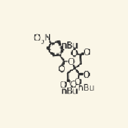 CCCCOC(=O)CC(CC(=O)OCCCC)(OC(=O)c1ccc([N+](=O)[O-])cc1)C(=O)OCCCC